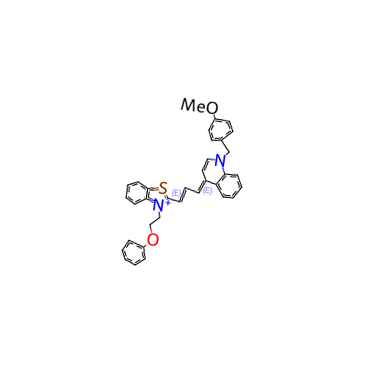 COc1ccc(CN2C=C/C(=C\C=C\c3sc4ccccc4[n+]3CCOc3ccccc3)c3ccccc32)cc1